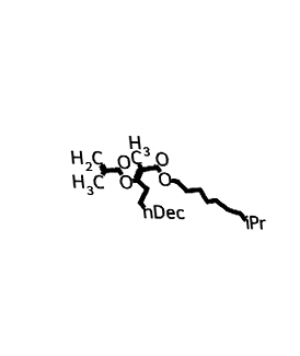 C=C(C)C(=O)OC(CCCCCCCCCCCC)=C(C)C(=O)OCCCCCCCC(C)C